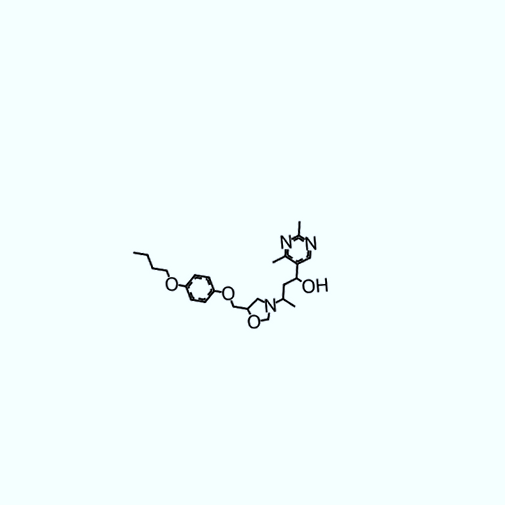 CCCCOc1ccc(OCC2CN(C(C)CC(O)c3cnc(C)nc3C)CO2)cc1